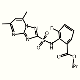 Cc1cc(C)n2nc(S(=O)(=O)Nc3c(F)cccc3C(=O)OC(C)C)nc2n1